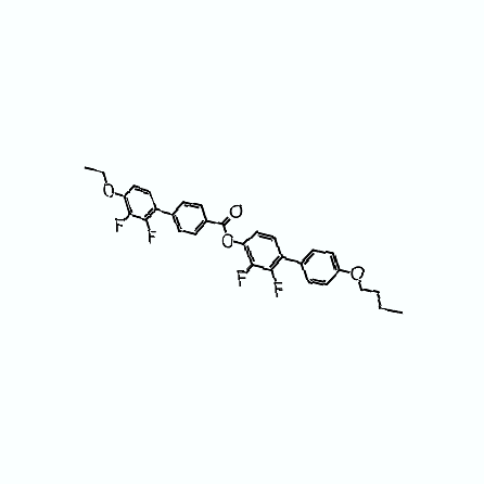 CCCCOc1ccc(-c2ccc(OC(=O)c3ccc(-c4ccc(OCC)c(F)c4F)cc3)c(F)c2F)cc1